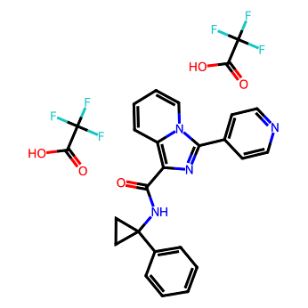 O=C(NC1(c2ccccc2)CC1)c1nc(-c2ccncc2)n2ccccc12.O=C(O)C(F)(F)F.O=C(O)C(F)(F)F